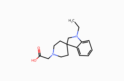 CCN1CC2(CCN(CC(=O)O)CC2)c2ccccc21